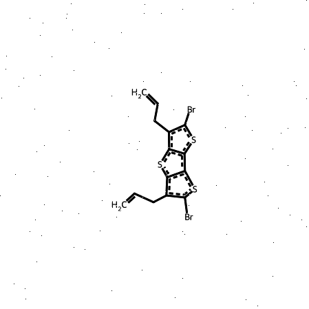 C=CCc1c(Br)sc2c1sc1c(CC=C)c(Br)sc12